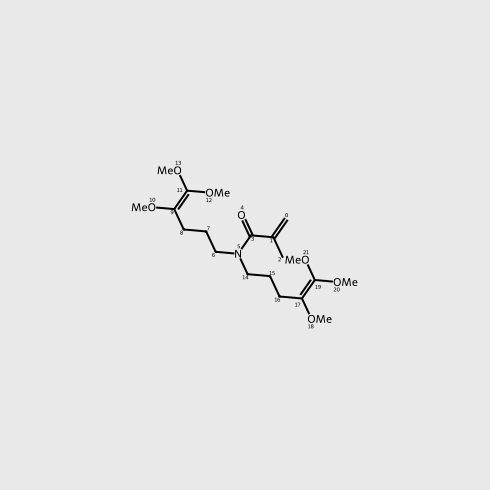 C=C(C)C(=O)N(CCCC(OC)=C(OC)OC)CCCC(OC)=C(OC)OC